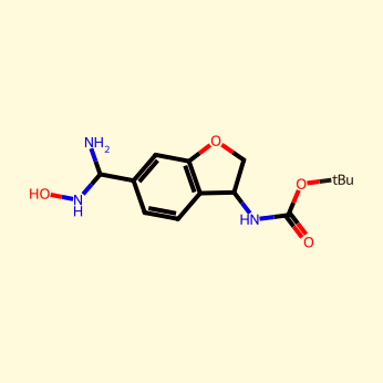 CC(C)(C)OC(=O)NC1COc2cc(C(N)NO)ccc21